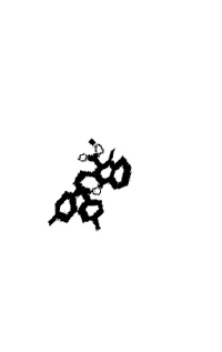 COC(=O)c1c2c(c3ccccc3c1C)OC(c1ccc(C)cc1)(c1ccc(C)cc1)C=C2